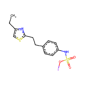 CCc1csc(CCc2ccc(NS(=O)(=O)OI)cc2)n1